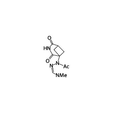 CN/C=N\N(C(C)=O)C12CC(C1)C(=O)NC2=O